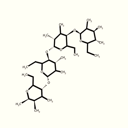 CCC1O[C@H](O[C@@H]2C(CC)O[C@@H](O[C@H]3C(CC)O[C@H](C)[C@H](C)C3C)C(C)[C@H]2C)[C@H](C)C(C)[C@H]1O[C@@H]1OC(CC)[C@@H](C)[C@H](C)C1C